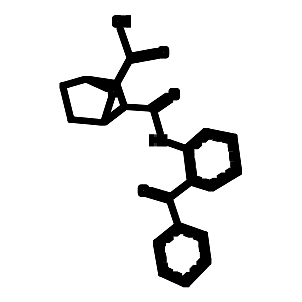 O=C(c1ccccc1)c1ccccc1NC(=O)C1C2CCC(O2)C1C(=O)O